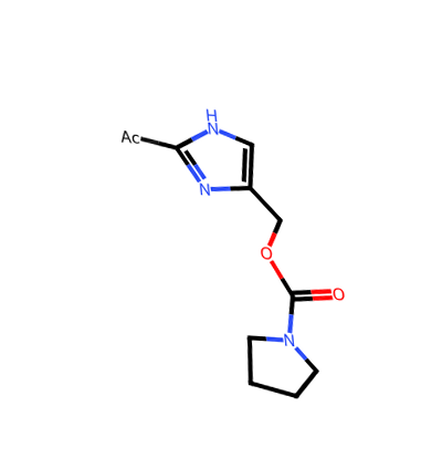 CC(=O)c1nc(COC(=O)N2CCCC2)c[nH]1